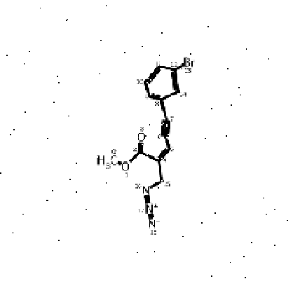 COC(=O)C(=CC#Cc1cccc(Br)c1)CN=[N+]=[N-]